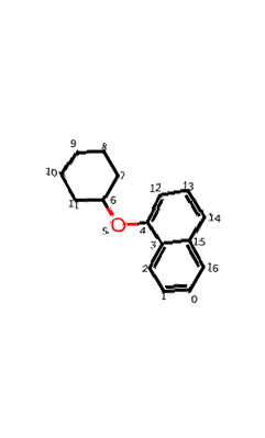 c1ccc2c(OC3CCCCC3)cccc2c1